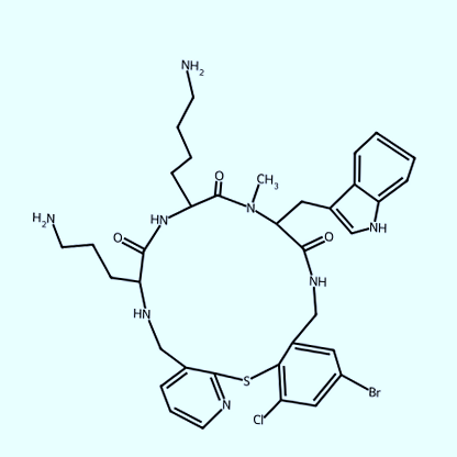 CN1C(=O)C(CCCCN)NC(=O)C(CCCN)NCc2cccnc2Sc2c(Cl)cc(Br)cc2CNC(=O)C1Cc1c[nH]c2ccccc12